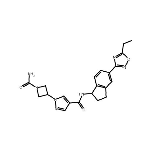 CCc1nc(-c2ccc3c(c2)CCC3NC(=O)c2cnn(C3CN(C(N)=O)C3)c2)no1